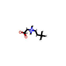 CC(C)(C)CC[N+](C)(C)CC(=O)[O-]